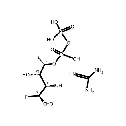 C[C@H](OP(=O)(O)OP(=O)(O)O)[C@@H](O)[C@@H](O)[C@H](F)C=O.N=C(N)N